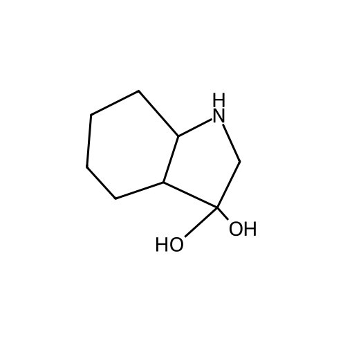 OC1(O)CNC2CCCCC21